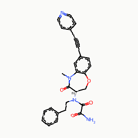 CN1C(=O)[C@@H](N(CCc2ccccc2)C(=O)C(N)=O)COc2ccc(C#Cc3ccncc3)cc21